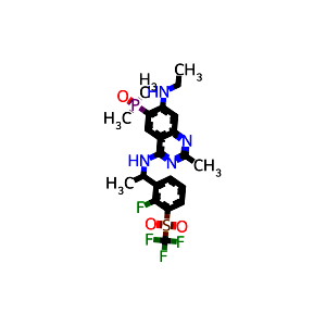 CCNc1cc2nc(C)nc(NC(C)c3cccc(S(=O)(=O)C(F)(F)F)c3F)c2cc1P(C)(C)=O